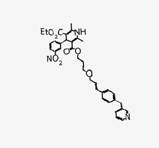 CCOC(=O)C1=C(C)NC(C)=C(C(=O)OCCCOC/C=C/c2ccc(Cc3cccnc3)cc2)C1c1cccc([N+](=O)[O-])c1